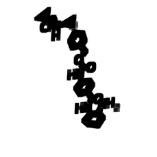 N#CC1(CNC2C[C@@H]2c2ccc(COC(=O)Nc3ccc(C(=O)Nc4ccccc4N)cc3)cc2)CC1